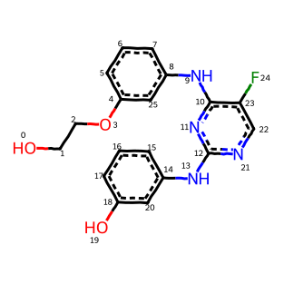 OCCOc1cccc(Nc2nc(Nc3cccc(O)c3)ncc2F)c1